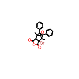 CC12C(=O)C(C)(C(c3ccccc3)=C1c1ccccc1)C1(Br)C(=O)OC(=O)C21